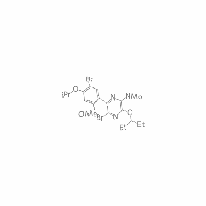 CCC(CC)Oc1nc(Br)c(-c2cc(Br)c(OC(C)C)cc2OC)nc1NC